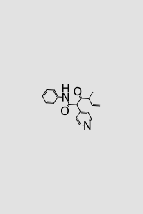 C=CC(C)C(=O)C(C(=O)Nc1ccccc1)c1ccncc1